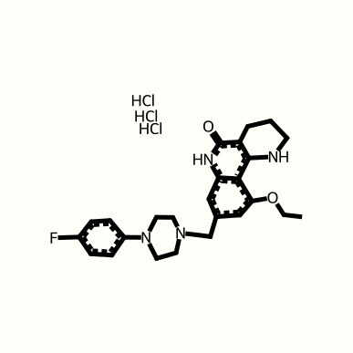 CCOc1cc(CN2CCN(c3ccc(F)cc3)CC2)cc2[nH]c(=O)c3c(c12)NCCC3.Cl.Cl.Cl